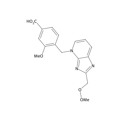 COOCc1nc2cccn(Cc3ccc(C(=O)O)cc3OC)c-2n1